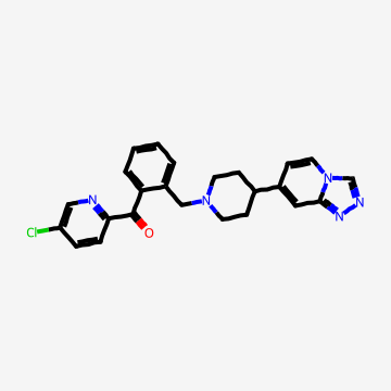 O=C(c1ccc(Cl)cn1)c1ccccc1CN1CCC(c2ccn3cnnc3c2)CC1